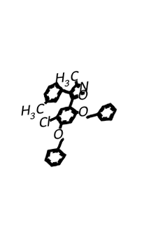 Cc1cccc(-c2c(C)noc2-c2cc(Cl)c(OCc3ccccc3)cc2OCc2ccccc2)c1